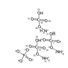 O=P([O-])([O-])[O-].[NH3+][O][Cr](=[O])(=[O])[OH].[NH3+][O][Cr](=[O])(=[O])[OH].[NH3+][O][Cr](=[O])(=[O])[OH]